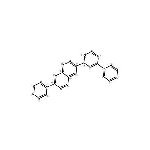 C1=NC(c2ccccc2)=NC(c2ccc3cc(-c4ccccc4)ccc3c2)N1